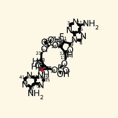 Nc1ncnc2c1ncn2[C@@H]1O[C@@H]2COP(=O)(O)O[C@@H]3[C@H](O)[C@@H](COP(=O)(O)O[C@H]2[C@H]1F)O[C@H]3n1cnc2c(N)ncnc21